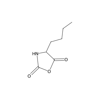 CCCCC1NC(=O)OC1=O